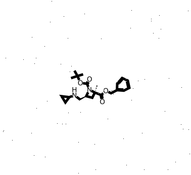 CC(C)(C)OC(=O)N1[C@H](CNC2CC2)C[C@]1(C)C(=O)OCc1ccccc1